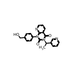 CC(c1cccnc1)n1c(=O)c2cccnc2n(-c2ccc(CO)cc2)c1=O